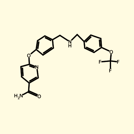 NC(=O)c1ccc(Oc2ccc(CNCc3ccc(OC(F)(F)F)cc3)cc2)nc1